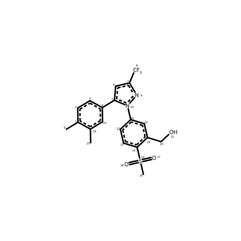 Cc1ccc(-c2cc(C(F)(F)F)nn2-c2ccc(S(C)(=O)=O)c(CO)c2)cc1C